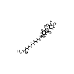 NC(=O)CCCCCCCCCCCNc1ccc2c(c1)C(=O)N(C1CCC(=O)NC1=O)C2=O